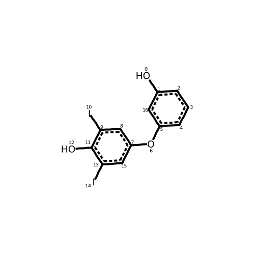 Oc1cccc(Oc2cc(I)c(O)c(I)c2)c1